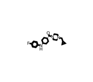 O=C([C@H]1CC[C@H](Nc2ccc(F)cc2)CC1)N1CCN(CC2CC2)CC1